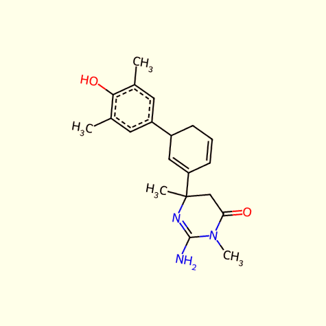 Cc1cc(C2C=C(C3(C)CC(=O)N(C)C(N)=N3)C=CC2)cc(C)c1O